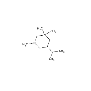 CC(C)[C@@H]1CN(C)CC(C)(C)C1